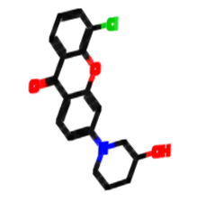 O=c1c2ccc(N3CCCC(O)C3)cc2oc2c(Cl)cccc12